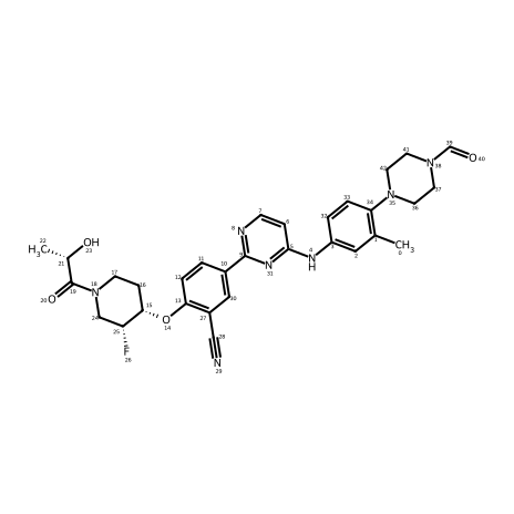 Cc1cc(Nc2ccnc(-c3ccc(O[C@H]4CCN(C(=O)[C@H](C)O)C[C@H]4F)c(C#N)c3)n2)ccc1N1CCN(C=O)CC1